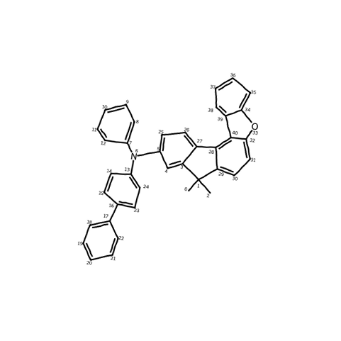 CC1(C)c2cc(N(c3ccccc3)c3ccc(-c4ccccc4)cc3)ccc2-c2c1ccc1oc3ccccc3c21